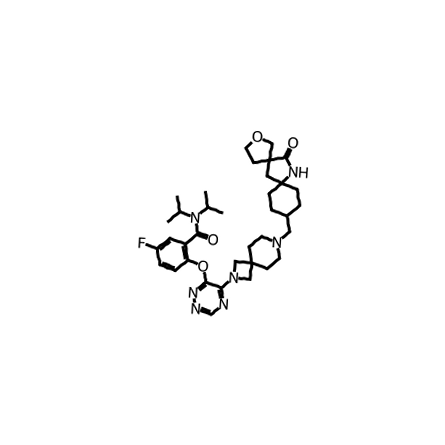 CC(C)N(C(=O)c1cc(F)ccc1Oc1nncnc1N1CC2(CCN(CC3CCC4(CC3)CC3(CCOC3)C(=O)N4)CC2)C1)C(C)C